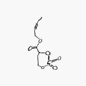 CC#CCOC(=O)C1COS(=O)(=O)O1